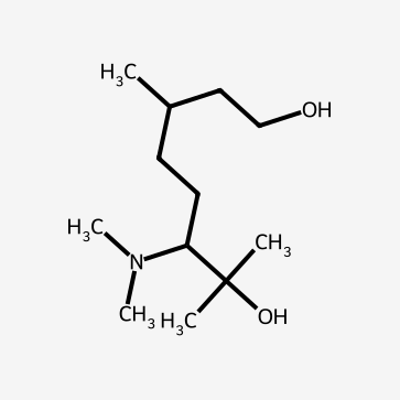 CC(CCO)CCC(N(C)C)C(C)(C)O